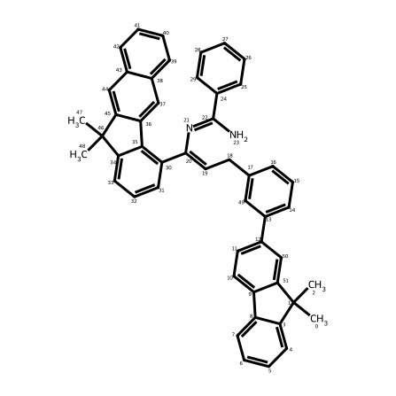 CC1(C)c2ccccc2-c2ccc(-c3cccc(C/C=C(\N=C(/N)c4ccccc4)c4cccc5c4-c4cc6ccccc6cc4C5(C)C)c3)cc21